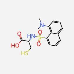 CN(C)c1cccc2cccc(S(=O)(=O)NC(CS)C(=O)O)c12